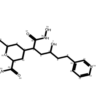 CC1CC(C(CC(O)[CH]Cc2cccnc2)C(=O)NO)CC(C(N)=O)O1